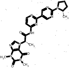 C[C@H]1CCCN1c1ncc(-c2nccc(NC(=O)[C@H](C)n3cnc4c3c(=O)n(C)c(=O)n4C)n2)cn1